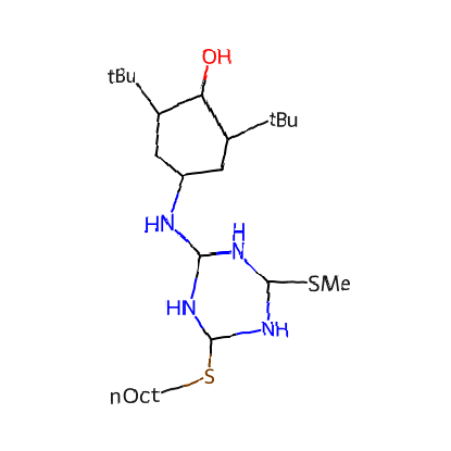 CCCCCCCCSC1NC(NC2CC(C(C)(C)C)C(O)C(C(C)(C)C)C2)NC(SC)N1